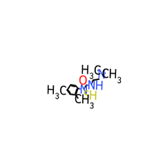 Cc1ccc(N(S)C(=O)NCCN(C)C)c(C)c1